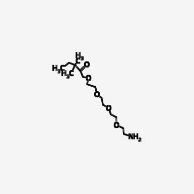 CCC(C)(C)C(=O)COCCOCCOCCOCCN